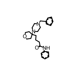 O=C(CCCC1(N2CCN(Cc3ccccc3)CC2)CCOCC1)Nc1ccccc1